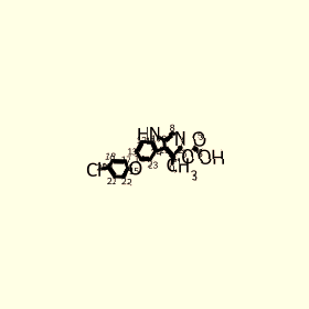 Cc1c(OC(=O)O)ncc2[nH]c3ccc(Oc4ccc(Cl)cc4)cc3c12